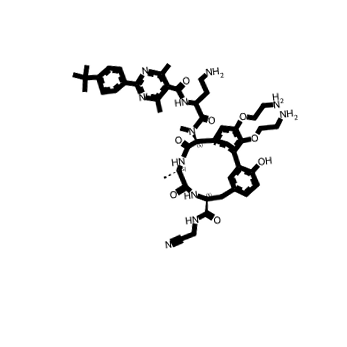 Cc1nc(-c2ccc(C(C)(C)C)cc2)nc(C)c1C(=O)NC(CCN)C(=O)N(C)[C@@H]1C(=O)N[C@@H](C)C(=O)N[C@H](C(=O)NCC#N)Cc2ccc(O)c(c2)-c2cc1cc(OCCN)c2OCCN